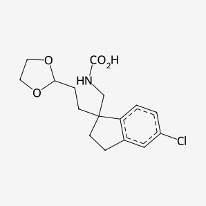 O=C(O)NCC1(CCC2OCCO2)CCc2cc(Cl)ccc21